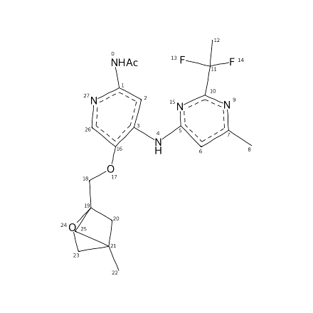 CC(=O)Nc1cc(Nc2cc(C)nc(C(C)(F)F)n2)c(OCC23CC(C)(CO2)C3)cn1